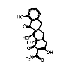 NC(=O)C1=C(O)CC2CC3Cc4cccc(O)c4C(=O)C3=C(O)[C@@]2(O)C1=O